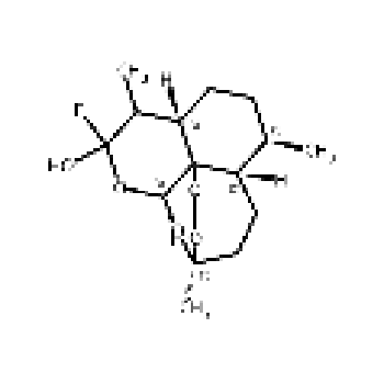 CC1[C@@H]2CC[C@@H](C)[C@@H]3CC[C@]4(C)OOC23[C@H](OC1(O)F)O4